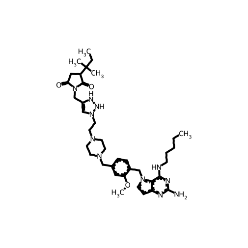 CCCCCNc1nc(N)nc2ccn(Cc3ccc(CN4CCN(CCN5C=C(CN6C(=O)CC(C(C)(C)CC)C6=O)NN5)CC4)cc3OC)c12